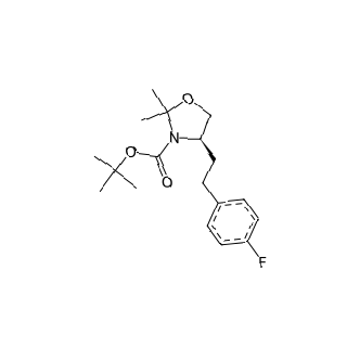 CC(C)(C)OC(=O)N1[C@H](CCc2ccc(F)cc2)COC1(C)C